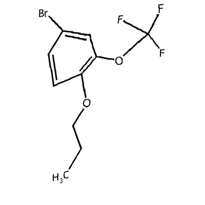 CCCOc1ccc(Br)cc1OC(F)(F)F